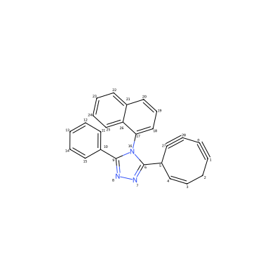 C1#CC/C=C\C(c2nnc(-c3ccccc3)n2-c2cccc3ccccc23)C#C1